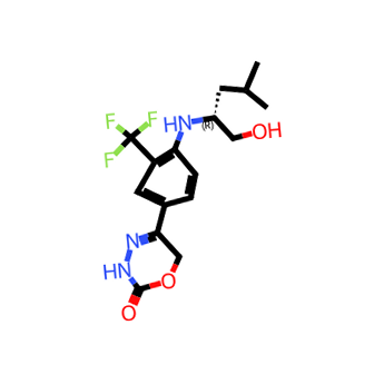 CC(C)C[C@H](CO)Nc1ccc(C2=NNC(=O)OC2)cc1C(F)(F)F